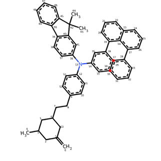 C=C1CC(C)CC(CCc2ccc(N(c3cccc(-c4cccc5cccc(-c6ccccc6)c45)c3)c3ccc4c(c3)C(C)(C)c3ccccc3-4)cc2)C1